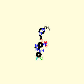 CN1CCCN(CCCOc2cc3ncnc(Nc4ccc(F)c(Cl)c4)c3cc2[N+](=O)[O-])CC1